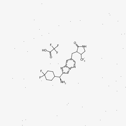 N[C@H](c1cn2ncc(CC3C(=O)NCC3C(F)(F)F)cc2n1)C1CCC(F)(F)CC1.O=C(O)C(F)(F)F